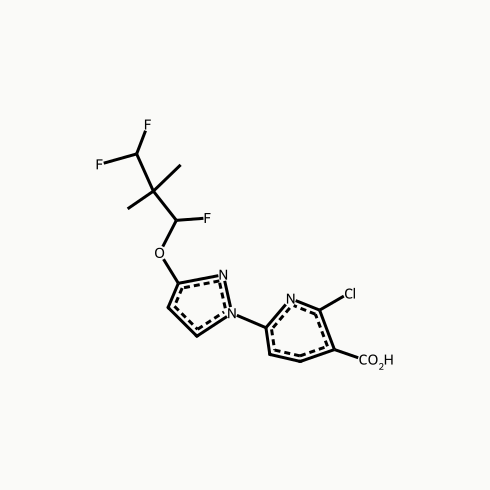 CC(C)(C(F)F)C(F)Oc1ccn(-c2ccc(C(=O)O)c(Cl)n2)n1